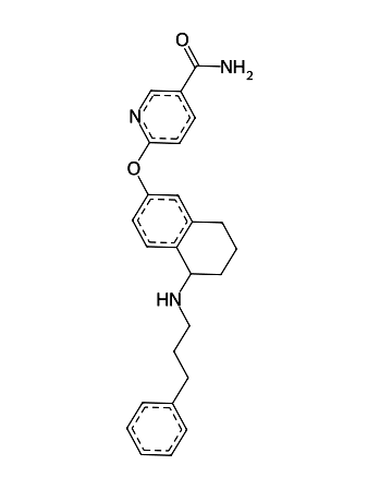 NC(=O)c1ccc(Oc2ccc3c(c2)CCCC3NCCCc2ccccc2)nc1